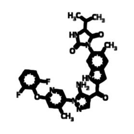 Cc1cc2cc(C(=O)c3cnn(-c4cnc(Oc5c(F)cccc5F)cc4C)c3N)[nH]c2cc1N1C(=O)NC(C(C)C)C1=O